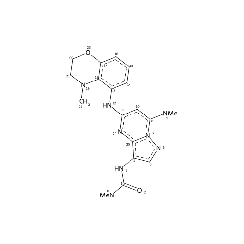 CNC(=O)Nc1cnn2c(NC)cc(Nc3cccc4c3N(C)CCO4)nc12